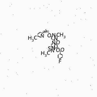 Cc1ccc([C@H]2C[C@@H]2COc2cc(N(Cc3nnc(C)s3)C(=O)OCOC(=O)c3ccc(F)cc3)nc(C)n2)nc1